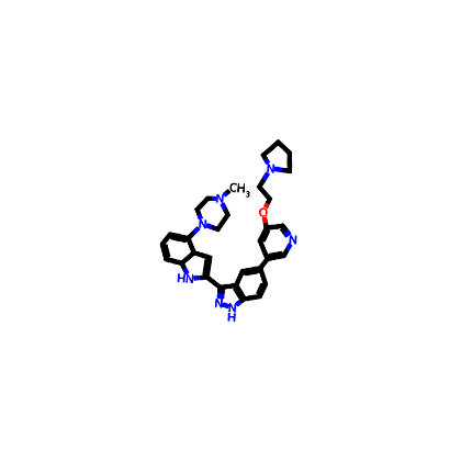 CN1CCN(C2=CC=CC3NC(c4n[nH]c5ccc(-c6cncc(OCCN7CCCC7)c6)cc45)=CC23)CC1